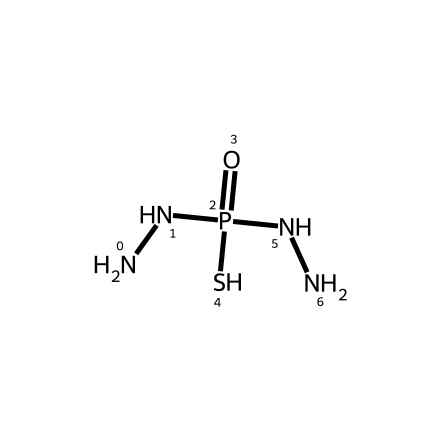 NNP(=O)(S)NN